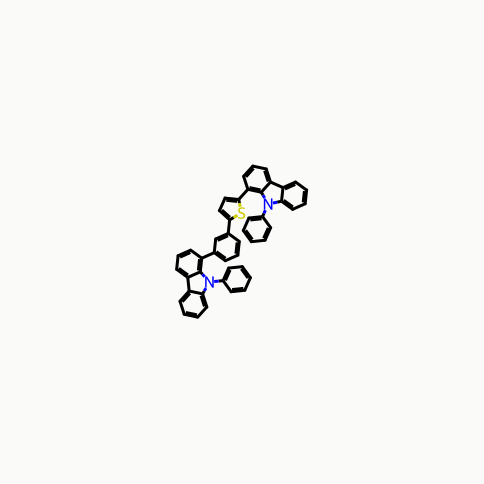 c1ccc(-n2c3ccccc3c3cccc(-c4cccc(-c5ccc(-c6cccc7c8ccccc8n(-c8ccccc8)c67)s5)c4)c32)cc1